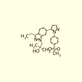 CCc1nn(CC(C)(C)O)c2cc(-c3ccnn3-c3ccc(S(C)(=O)=O)cc3)ccc12